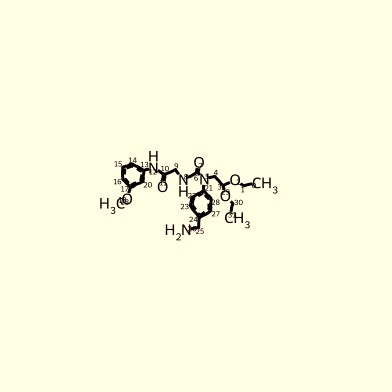 CCOC(CN(C(=O)NCC(=O)Nc1cccc(OC)c1)c1ccc(CN)cc1)OCC